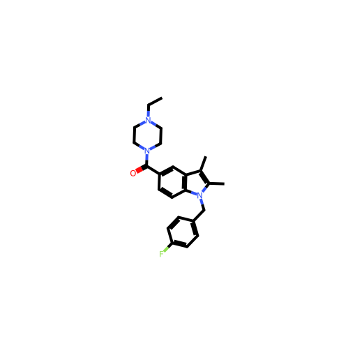 CCN1CCN(C(=O)c2ccc3c(c2)c(C)c(C)n3Cc2ccc(F)cc2)CC1